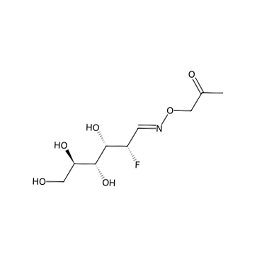 CC(=O)CO/N=C/[C@H](F)[C@@H](O)[C@H](O)[C@H](O)CO